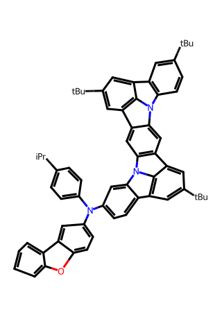 CC(C)c1ccc(N(c2ccc3oc4ccccc4c3c2)c2ccc3c4cc(C(C)(C)C)cc5c6cc7c(cc6n(c3c2)c45)c2cc(C(C)(C)C)cc3c4cc(C(C)(C)C)ccc4n7c32)cc1